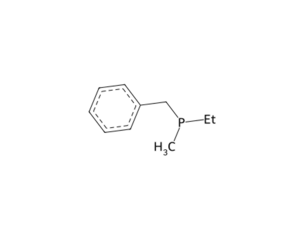 CCP(C)Cc1ccccc1